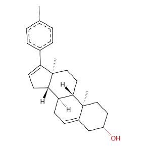 Cc1ccc(C2=CC[C@H]3[C@@H]4CC=C5C[C@@H](O)CC[C@]5(C)[C@H]4CC[C@]23C)cc1